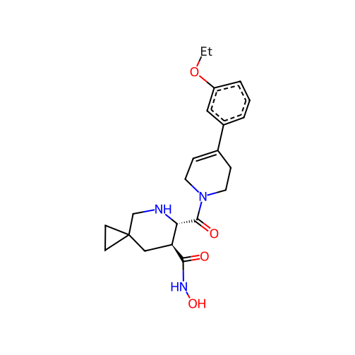 CCOc1cccc(C2=CCN(C(=O)[C@H]3NCC4(CC4)C[C@@H]3C(=O)NO)CC2)c1